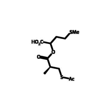 CSCCC(OC(=O)[C@H](C)CSC(C)=O)C(=O)O